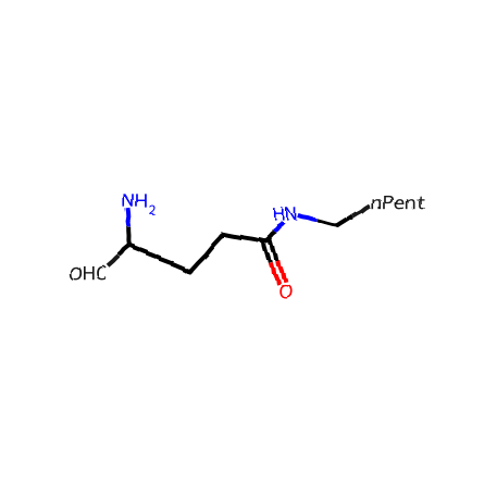 CCCCCCNC(=O)CCC(N)C=O